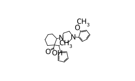 COc1ccccc1N1CCN(C2CCCCC2(C(=O)O)C(C)c2ccccc2)CC1